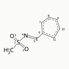 CS(=O)(=O)/N=I/c1ccccc1